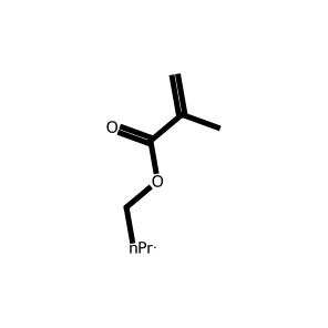 C=C(C)C(=O)OC[CH]CC